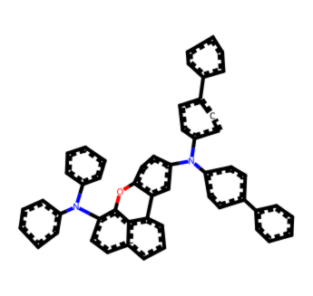 c1ccc(-c2ccc(N(c3ccc(-c4ccccc4)cc3)c3ccc4c(c3)-c3cccc5ccc(N(c6ccccc6)c6ccccc6)c(c35)O4)cc2)cc1